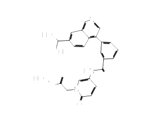 COC(=O)Cn1cc(NC(=O)c2cccc(-c3cncc4cc(C(C)C)ccc34)c2)ccc1=O